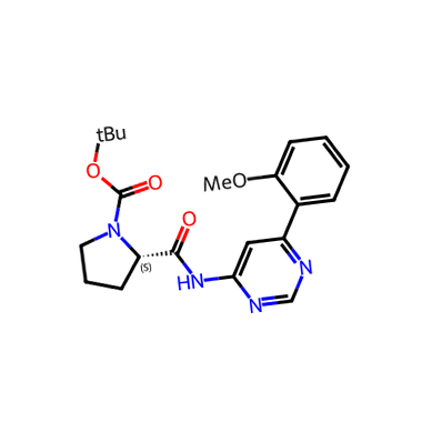 COc1ccccc1-c1cc(NC(=O)[C@@H]2CCCN2C(=O)OC(C)(C)C)ncn1